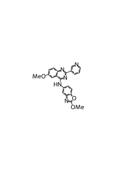 COc1ccc2nc(-c3cccnc3)nc(Nc3ccc4oc(OC)nc4c3)c2c1